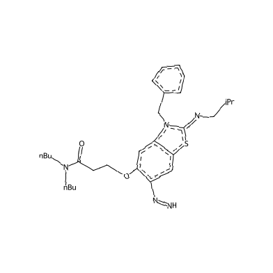 CCCCN(CCCC)C(=O)CCOc1cc2c(cc1N=N)sc(=NCC(C)C)n2Cc1ccccc1